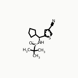 CC(C)(C)[S+]([O-])N[C@H](c1cc(C#N)cs1)C1CCCC1